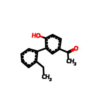 CCc1ccccc1-c1cc(C(C)=O)ccc1O